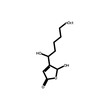 CCCCCCCCCCCCC(O)C1=CC(=O)OC1O